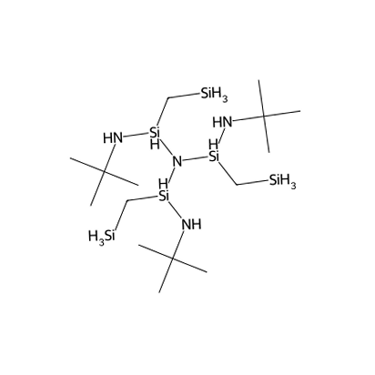 CC(C)(C)N[SiH](C[SiH3])N([SiH](C[SiH3])NC(C)(C)C)[SiH](C[SiH3])NC(C)(C)C